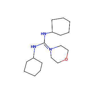 C1CCC(NC(NC2CCCCC2)=[N+]2CCOCC2)CC1